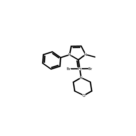 Cn1ccn(-c2ccccc2)[c]1=[Pt]([Br])([Br])[N]1CCOCC1